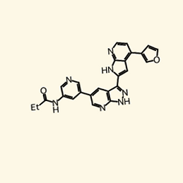 CCC(=O)Nc1cncc(-c2cnc3[nH]nc(-c4cc5c(-c6ccoc6)ccnc5[nH]4)c3c2)c1